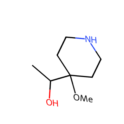 COC1(C(C)O)CCNCC1